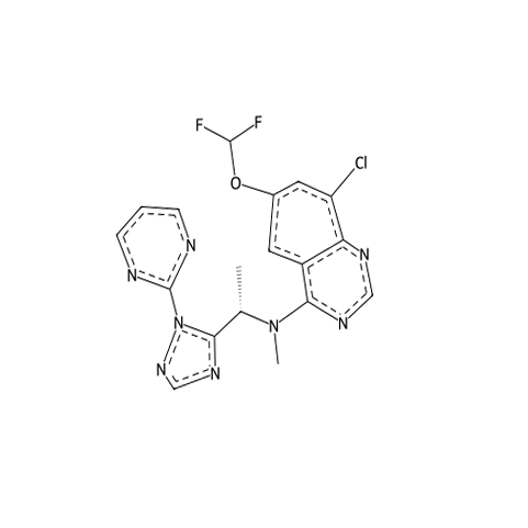 C[C@@H](c1ncnn1-c1ncccn1)N(C)c1ncnc2c(Cl)cc(OC(F)F)cc12